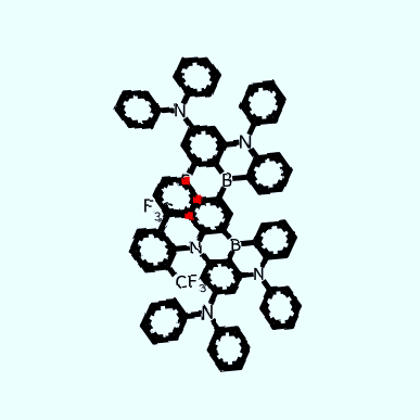 FC(F)(F)c1cccc(-c2ccccc2)c1N1c2cc(N(c3ccccc3)c3ccccc3)cc3c2B(c2ccccc2N3c2ccccc2)c2cc3c(c(C(F)(F)F)c21)Sc1cc(N(c2ccccc2)c2ccccc2)cc2c1B3c1ccccc1N2c1ccccc1